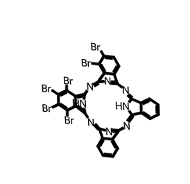 Brc1ccc2c(c1Br)-c1nc-2nc2[nH]c(nc3nc(nc4[nH]c(n1)c1c(Br)c(Br)c(Br)c(Br)c41)-c1ccccc1-3)c1ccccc21